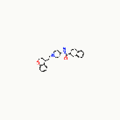 O=C(NC1CCN(CCC2CCOc3ccccc32)CC1)C1CCc2ccccc2C1